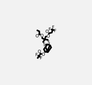 CCC(=O)OCC1(COC(=O)CC(F)(F)F)CSC2(SC1)C1CC3CC2CC(OC(=O)C(C)(F)F)(C3)C1